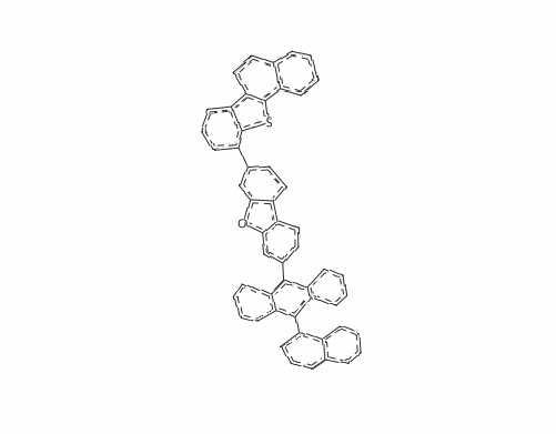 c1ccc2c(-c3c4ccccc4c(-c4ccc5c(c4)oc4cc(-c6cccc7c6sc6c8ccccc8ccc76)ccc45)c4ccccc34)cccc2c1